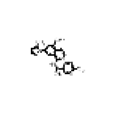 COc1cc(-n2nccc2C)cc2c(NC(C)c3cnc(C(F)(F)F)nc3)ncnc12